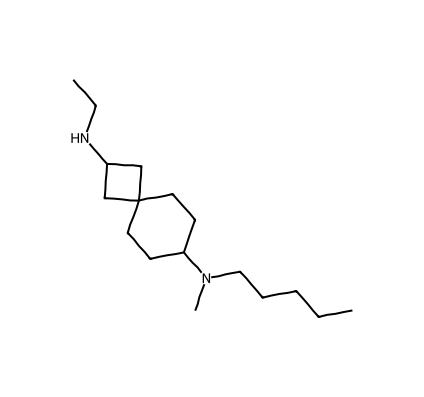 CCCCCN(C)C1CCC2(CC1)CC(NCC)C2